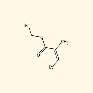 [CH2]/C(=C/CC)C(=O)OCC(C)C